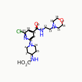 O=C(O)NC1CCN(c2cc(C(=O)NCCN3CCOCC3)cc(Cl)n2)CC1